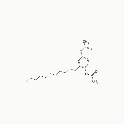 CC(=O)Oc1ccc(OC(C)=O)c(CCCCCCCCCCI)c1